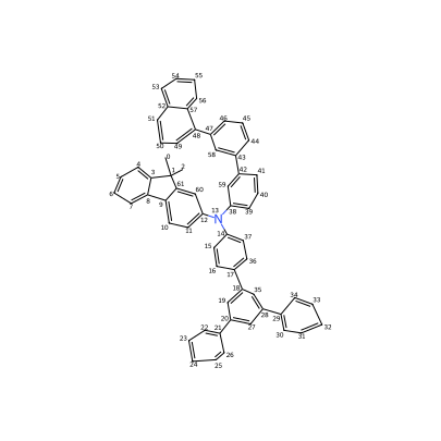 CC1(C)c2ccccc2-c2ccc(N(c3ccc(-c4cc(-c5ccccc5)cc(-c5ccccc5)c4)cc3)c3cccc(-c4cccc(-c5cccc6ccccc56)c4)c3)cc21